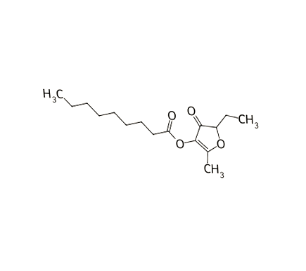 CCCCCCCCC(=O)OC1=C(C)OC(CC)C1=O